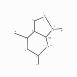 CC1CC(C)C2CNN(C)C2N1